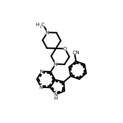 CN1CCC2(CC1)CN(c1ncnc3[nH]cc(-c4cccc(C#N)c4)c13)CCO2